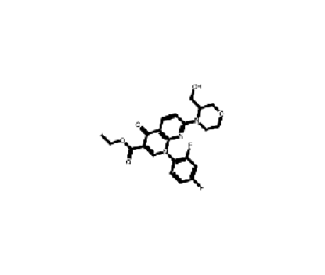 CCOC(=O)c1cn(-c2ccc(F)cc2F)c2nc(N3CCOCC3CO)ccc2c1=O